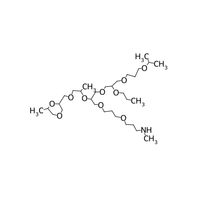 CCCOC(COCCCOC(C)C)COCC(COCCCOCCCNC)OC(C)COCC1COCC(C)O1